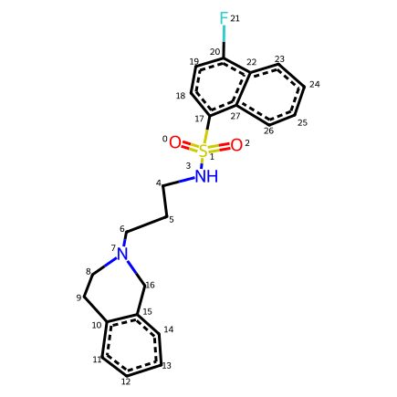 O=S(=O)(NCCCN1CCc2ccccc2C1)c1ccc(F)c2ccccc12